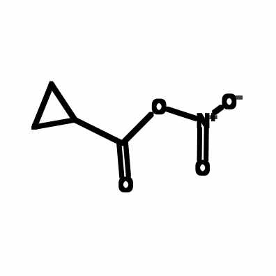 O=C(O[N+](=O)[O-])C1CC1